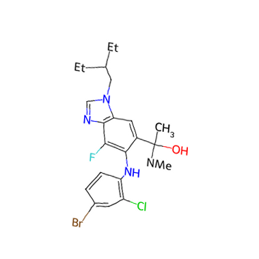 CCC(CC)Cn1cnc2c(F)c(Nc3ccc(Br)cc3Cl)c(C(C)(O)NC)cc21